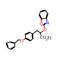 CCOC(=O)C(Cc1ccc(OCc2ccccc2)cc1)Oc1nc2ccccc2o1